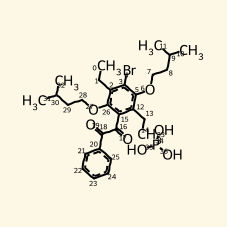 CCc1c(Br)c(OCCC(C)C)c(CC)c(C(=O)C(=O)c2ccccc2)c1OCCC(C)C.OP(O)O